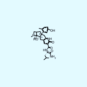 Cc1ccc(O)cc1[C@@]12Cc3[nH]c(=O)c(C(=O)N[C@@H](CC(C)C)C(N)=O)cc3C[C@@]1(O)[C@H]1C(CN1C)C2